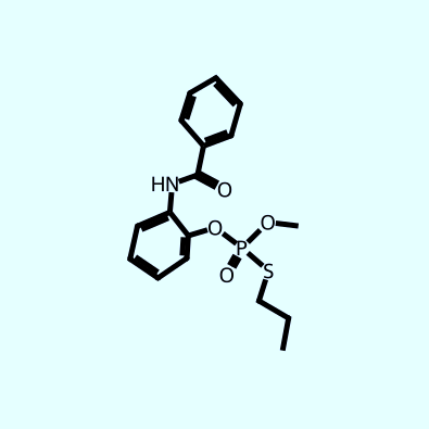 CCCSP(=O)(OC)Oc1ccccc1NC(=O)c1ccccc1